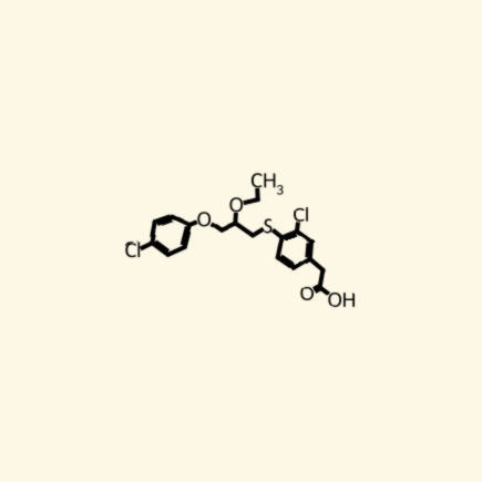 CCOC(COc1ccc(Cl)cc1)CSc1ccc(CC(=O)O)cc1Cl